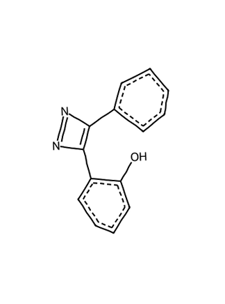 Oc1ccccc1C1=C(c2ccccc2)N=N1